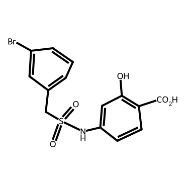 O=C(O)c1ccc(NS(=O)(=O)Cc2cccc(Br)c2)cc1O